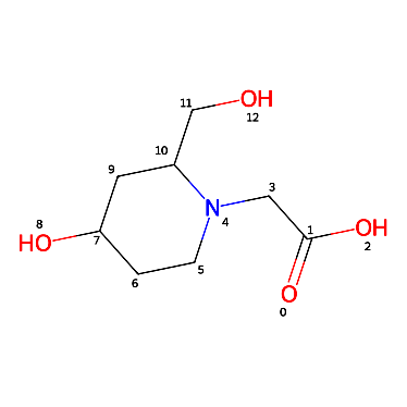 O=C(O)CN1CCC(O)CC1CO